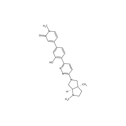 CN1CC[C@]2(C)CN(c3ccc(-c4ccc(-c5ccn(C)c(=O)c5)cc4O)nn3)C[C@H]12